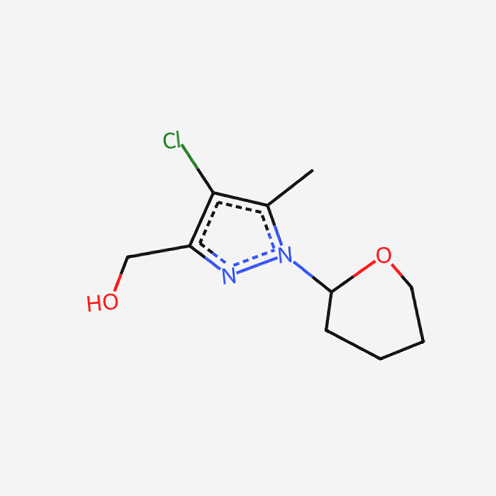 Cc1c(Cl)c(CO)nn1C1CCCCO1